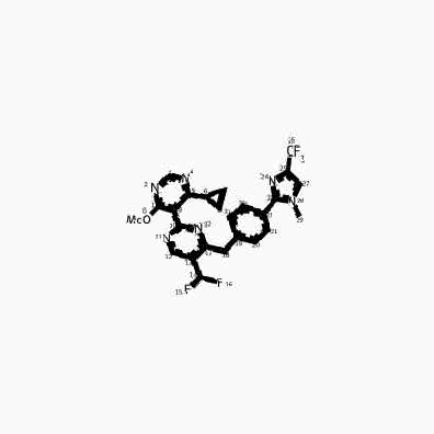 COc1ncnc(C2CC2)c1-c1ncc(C(F)F)c(Cc2ccc(-c3nc(C(F)(F)F)cn3C)cc2)n1